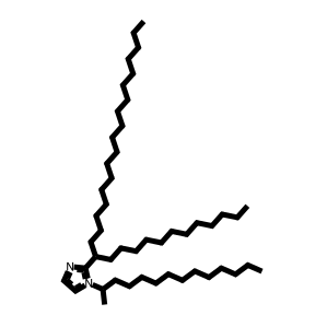 CCCCCCCCCCCCCCCCCCC(CCCCCCCCCCCC)c1nccn1C(C)CCCCCCCCCCCC